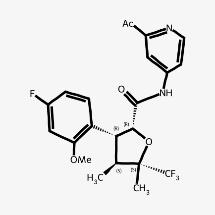 COc1cc(F)ccc1[C@@H]1[C@H](C(=O)Nc2ccnc(C(C)=O)c2)O[C@](C)(C(F)(F)F)[C@H]1C